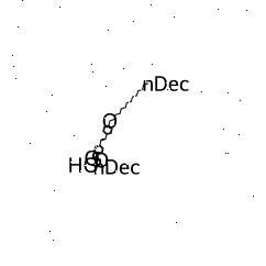 CCCCCCCCCCCCCCCCCCCCCCOc1ccc(C=Cc2ccc(S(=O)(=O)C(O)CCCCCCCCCC)cc2)cc1